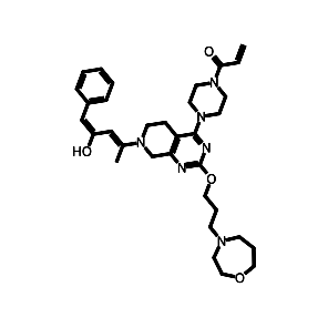 C=CC(=O)N1CCN(c2nc(OCCCN3CCCOCC3)nc3c2CCN(/C(C)=C/C(O)=C\c2ccccc2)C3)CC1